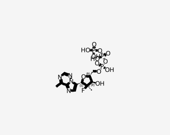 Cc1ncnn2c([C@@H]3O[C@H](COP(=O)(O)OP(=O)(O)OP(=O)(O)O)[C@@H](O)[C@@]3(C)F)cnc12